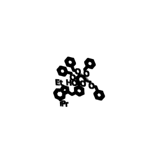 CCc1cc(Cc2cccc(C3(O)O[C@H](COCc4ccccc4)[C@@H](OCc4ccccc4)[C@H](OCc4ccccc4)[C@H]3OCc3ccccc3)c2)c2cc(C(C)C)cccc1-2